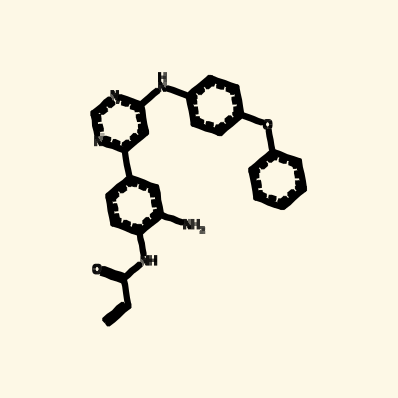 C=CC(=O)Nc1ccc(-c2cc(Nc3ccc(Oc4ccccc4)cc3)ncn2)cc1N